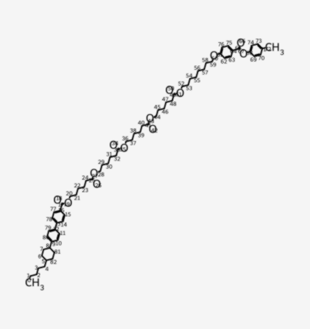 CCCCCC1CCC(c2ccc(-c3ccc(C(=O)OCCCCCC(=O)OCCCCCC(=O)OCCCCCC(=O)OCCCCCC(=O)OCCCCCCCCOc4ccc(C(=O)Oc5ccc(C)cc5)cc4)cc3)cc2)CC1